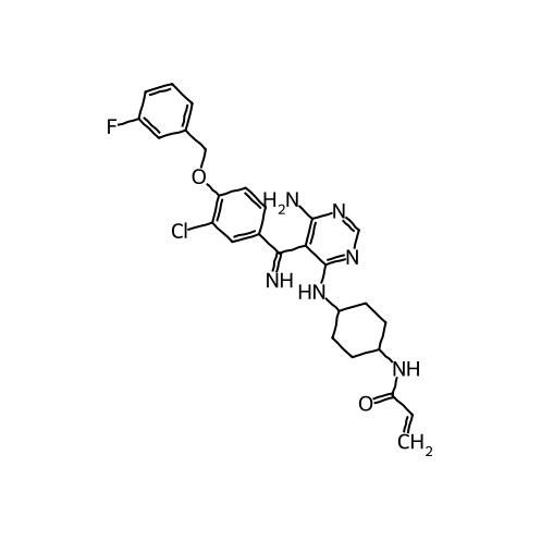 C=CC(=O)NC1CCC(Nc2ncnc(N)c2C(=N)c2ccc(OCc3cccc(F)c3)c(Cl)c2)CC1